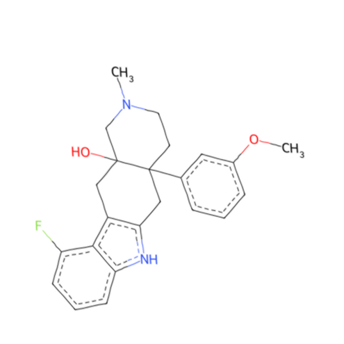 COc1cccc(C23CCN(C)CC2(O)Cc2c([nH]c4cccc(F)c24)C3)c1